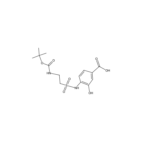 CC(C)(C)OC(=O)NCCS(=O)(=O)Nc1ccc(C(=O)O)cc1O